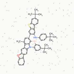 Cc1cc(-c2cc3sc4cc(C(C)(C)C)ccc4c3cc2Nc2ccc(C(C)(C)C)cc2)c2c3c1c1cc4oc5ccccc5c4cc1n3-c1ccc(C(C)(C)C)cc1B2